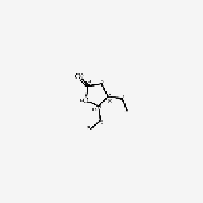 CC[C@@H]1CC(=O)O[C@@H]1CC